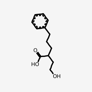 O=C(O)C(CCO)CCCc1ccccc1